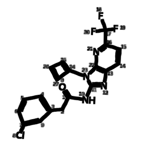 O=C(Cc1cccc(Cl)c1)Nc1nc2ccc(C(F)(F)F)nc2n1C1=CC=C1